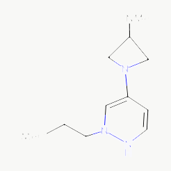 CNC1CN(C2=CN(CCOC)NC=C2)C1